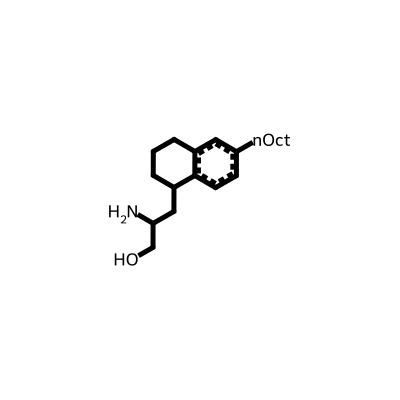 CCCCCCCCc1ccc2c(c1)CCCC2CC(N)CO